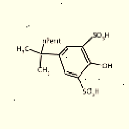 CCCCCC(C)(C)c1cc(S(=O)(=O)O)c(O)c(S(=O)(=O)O)c1